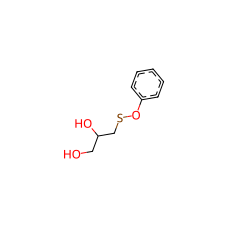 OCC(O)CSOc1ccccc1